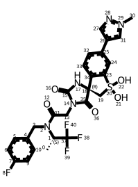 C[C@H](N(Cc1ccc(F)cc1)C(=O)CN1C(=O)N[C@@]2(CS(O)(O)c3cc(-c4cnn(C)c4)ccc32)C1=O)C(F)(F)F